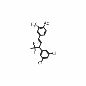 CC(=O)c1ccc(/C=C/C(c2cc(Cl)cc(Cl)c2)C(C)(F)F)cc1C(F)(F)F